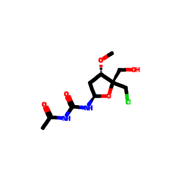 CO[C@H]1C[C@H](NC(=O)NC(C)=O)O[C@@]1(CO)CCl